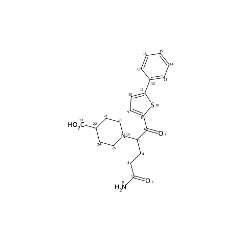 NC(=O)CCC(C(=O)c1ccc(-c2ccccc2)s1)N1CCC(C(=O)O)CC1